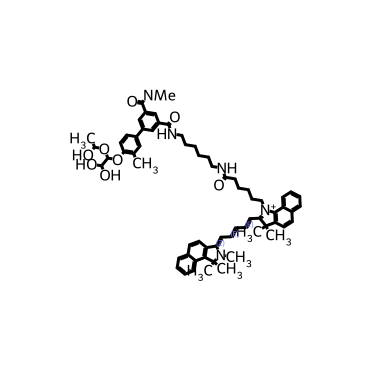 CNC(=O)c1cc(C(=O)NCCCCCCNC(=O)CCCCC[N+]2=C(/C=C/C=C/C=C3/c4ccc5ccccc5c4C(C)(C)N3C)C(C)(C)c3ccc4ccccc4c32)cc(-c2ccc(OC(OC(C)O)C(O)O)c(C)c2)c1